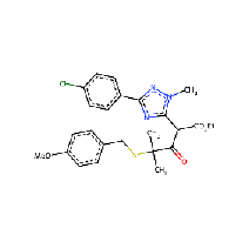 CCOC(=O)C(C(=O)C(C)(C)SCc1ccc(OC)cc1)c1nc(-c2ccc(Cl)cc2)nn1C